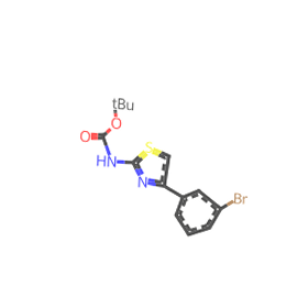 CC(C)(C)OC(=O)Nc1nc(-c2cccc(Br)c2)cs1